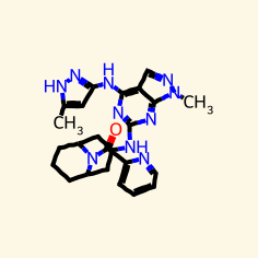 Cc1cc(Nc2nc(NC3CC4CCCC(C3)N4C(=O)c3ccccn3)nc3c2cnn3C)n[nH]1